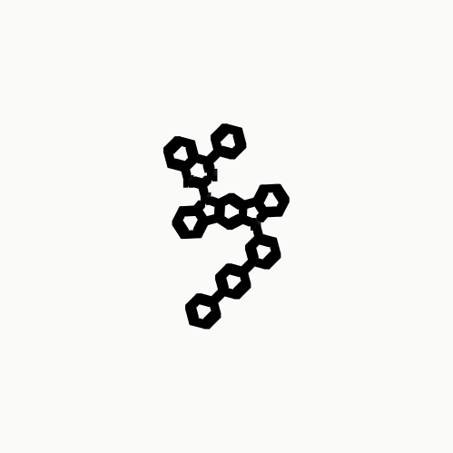 c1ccc(-c2ccc(-c3cccc(-n4c5ccccc5c5cc6c(cc54)c4ccccc4n6-c4nc(-c5ccccc5)c5ccccc5n4)c3)cc2)cc1